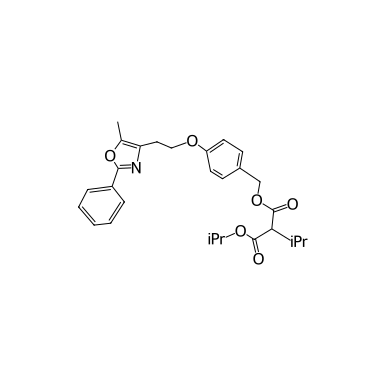 Cc1oc(-c2ccccc2)nc1CCOc1ccc(COC(=O)C(C(=O)OC(C)C)C(C)C)cc1